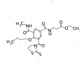 CCCCOc1c(C(=O)NC)cc(C(=O)NCCC(=O)OCC)cc1C(=O)N1CCSC1=S